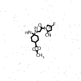 CCCC1(NCC(=O)N2C[C@@H](F)C[C@H]2C#N)CCC(C2OC(C)O2)CC1